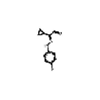 O=C/C(=N/Nc1ccc(F)cc1)C1CC1